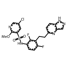 COc1ncc(Cl)cc1S(=O)(=O)Nc1ccc(F)c(CCc2ccc3[nH]ncc3n2)c1F